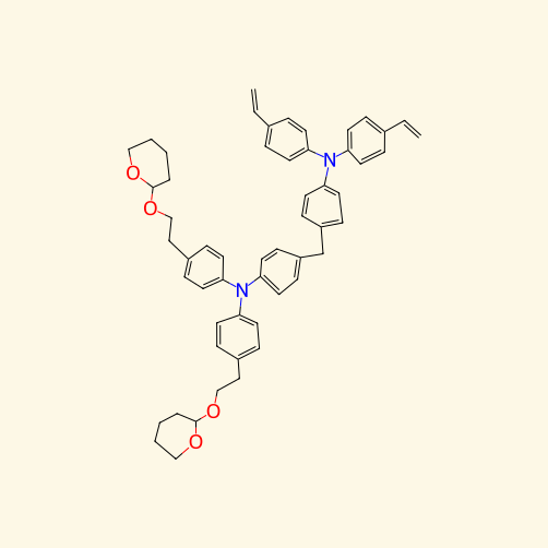 C=Cc1ccc(N(c2ccc(C=C)cc2)c2ccc(Cc3ccc(N(c4ccc(CCOC5CCCCO5)cc4)c4ccc(CCOC5CCCCO5)cc4)cc3)cc2)cc1